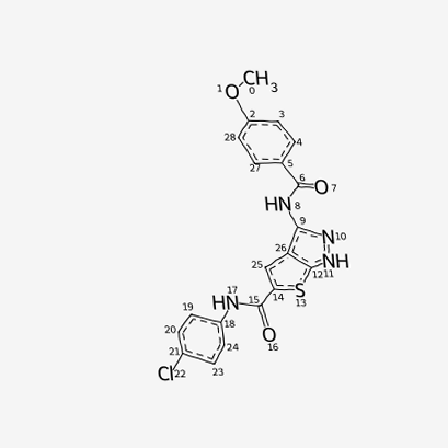 COc1ccc(C(=O)Nc2n[nH]c3sc(C(=O)Nc4ccc(Cl)cc4)cc23)cc1